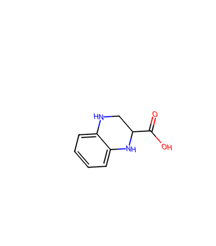 O=C(O)C1CNc2ccccc2N1